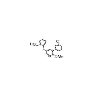 COc1ncc(Cc2ccccc2CO)cc1-c1cccc(Cl)c1